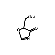 CCCCCC1OC=NC1=O